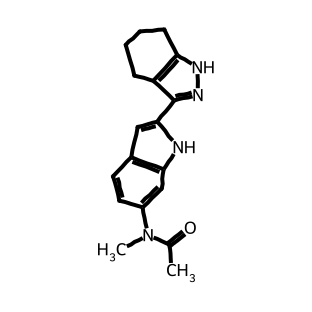 CC(=O)N(C)c1ccc2cc(-c3n[nH]c4c3CCCC4)[nH]c2c1